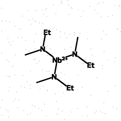 CC[N](C)[Nb+2]([N](C)CC)[N](C)CC